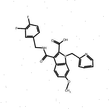 COc1ccc2c(C(=O)NCc3ccc(F)c(F)c3)c(C(=O)O)n(Cc3ccccn3)c2c1